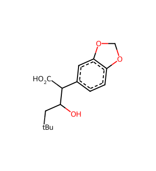 CC(C)(C)CC(O)C(C(=O)O)c1ccc2c(c1)OCO2